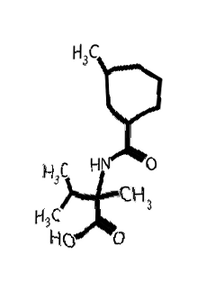 CC1CCCC(C(=O)NC(C)(C(=O)O)C(C)C)C1